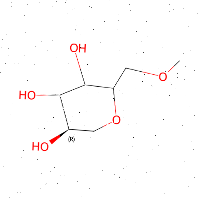 COCC1OC[C@@H](O)C(O)C1O